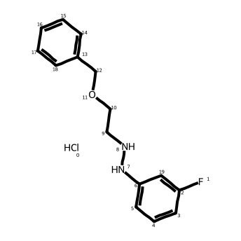 Cl.Fc1cccc(NNCCOCc2ccccc2)c1